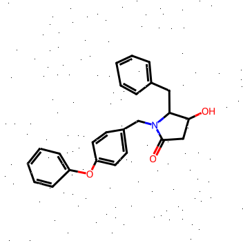 O=C1CC(O)C(Cc2ccccc2)N1Cc1ccc(Oc2ccccc2)cc1